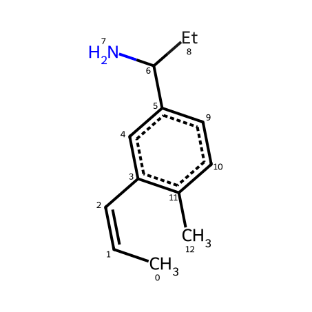 C/C=C\c1cc(C(N)CC)ccc1C